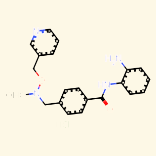 Cl.Nc1ccccc1NC(=O)c1ccc(CN(C=O)OCc2cccnc2)cc1